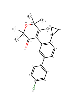 CC1=C(c2cc(-c3ccc(Cl)cc3)ccc2C2CC2)C(=O)C(C)(C)OC1(C)C